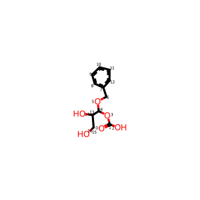 O=C(O)OC(OCc1ccccc1)C(O)CO